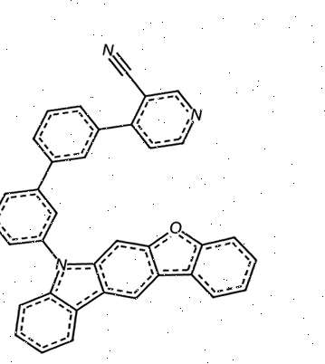 N#Cc1cnccc1-c1cccc(-c2cccc(-n3c4ccccc4c4cc5c(cc43)oc3ccccc35)c2)c1